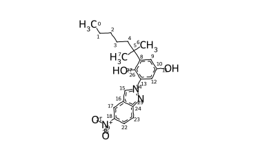 CCCCCC(C)(C)c1cc(O)cc(-n2cc3cc([N+](=O)[O-])ccc3n2)c1O